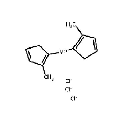 CC1=[C]([V+3][C]2=C(C)C=CC2)CC=C1.[Cl-].[Cl-].[Cl-]